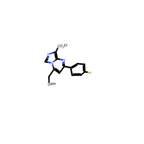 CCOC(=O)c1ncn2c(COC)cc(-c3ccc(F)cc3)nc12